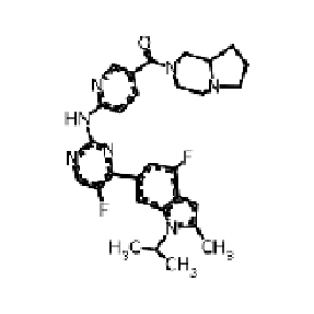 Cc1cc2c(F)cc(-c3nc(Nc4ccc(C(=O)N5CCN6CCCC6C5)cn4)ncc3F)cc2n1C(C)C